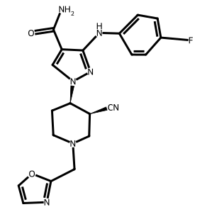 N#C[C@H]1CN(Cc2ncco2)CC[C@H]1n1cc(C(N)=O)c(Nc2ccc(F)cc2)n1